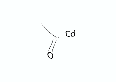 C[C]=O.[Cd]